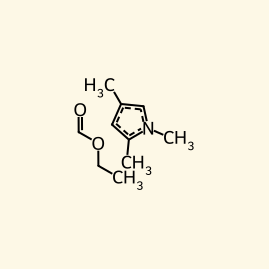 CCOC=O.Cc1cc(C)n(C)c1